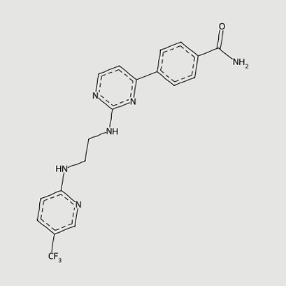 NC(=O)c1ccc(-c2ccnc(NCCNc3ccc(C(F)(F)F)cn3)n2)cc1